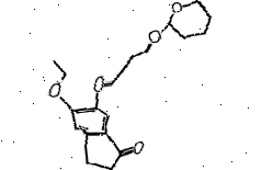 CCOc1cc2c(cc1OCCCOC1CCCCO1)C(=O)CC2